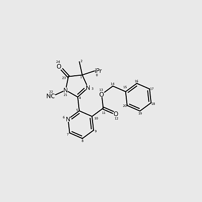 CC(C)C1(C)N=C(c2ncccc2C(=O)OCc2ccccc2)N(C#N)C1=O